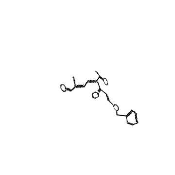 CC(=O)/C(=C/C=C(\C)C=O)C(=O)/C=C/OCc1ccccc1